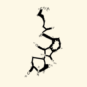 O=C(O)CCCC(=O)Nc1cccc2c1C(=O)N(C1CCC(=O)NC1=O)C2=O